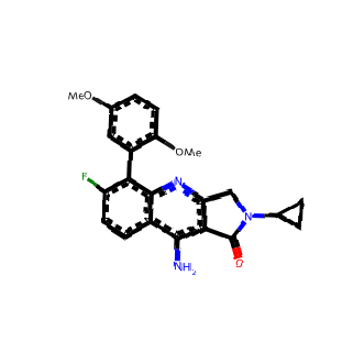 COc1ccc(OC)c(-c2c(F)ccc3c(N)c4c(nc23)CN(C2CC2)C4=O)c1